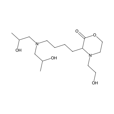 CC(O)CN(CCCCC1C(=O)OCCN1CCO)CC(C)O